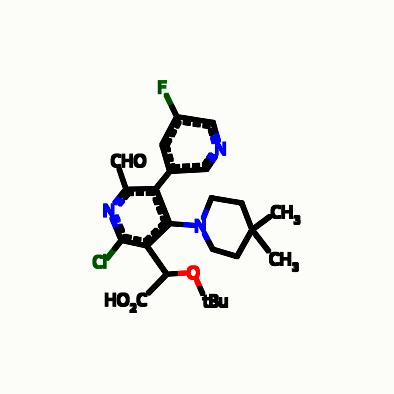 CC1(C)CCN(c2c(-c3cncc(F)c3)c(C=O)nc(Cl)c2C(OC(C)(C)C)C(=O)O)CC1